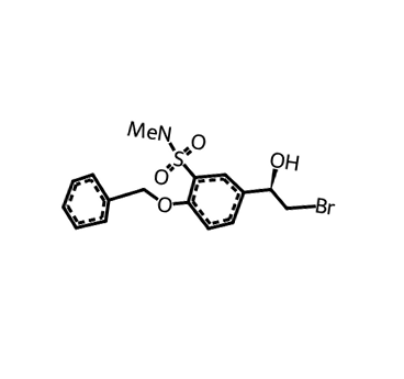 CNS(=O)(=O)c1cc([C@@H](O)CBr)ccc1OCc1ccccc1